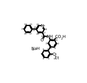 CCOc1ccccc1-c1ccc(C(=O)O)c(NC(=O)c2cncc(-c3ccccc3)c2)c1.[NaH]